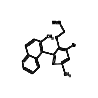 COCOc1c(Br)cc(C)cc1-c1c(C)ccc2ccccc12